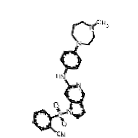 CN1CCCN(c2ccc(Nc3cc4c(ccn4S(=O)(=O)c4ccccc4C#N)cn3)cc2)CC1